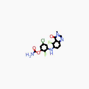 Cn1cnc2ccc(Nc3cc(Cl)cc(OC(N)=O)c3F)c(F)c2c1=O